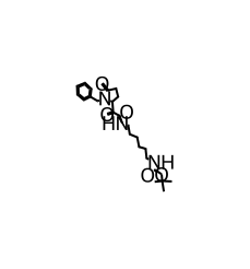 CC(C)(C)OC(=O)NCCCCCCNC(=O)C(=O)C1CCC(=O)N1Cc1ccccc1